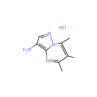 Cc1nc2c(N)cnn2c(C)c1C.Cl